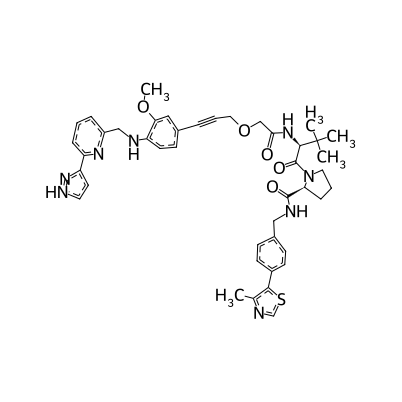 COc1cc(C#CCOCC(=O)N[C@H](C(=O)N2CCC[C@H]2C(=O)NCc2ccc(-c3scnc3C)cc2)C(C)(C)C)ccc1NCc1cccc(-c2cc[nH]n2)n1